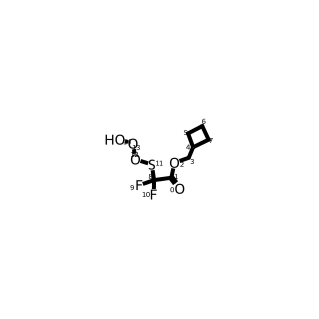 O=C(OCC1CCC1)C(F)(F)SOOO